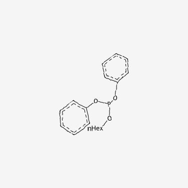 CCCCCCOP(Oc1ccccc1)Oc1ccccc1